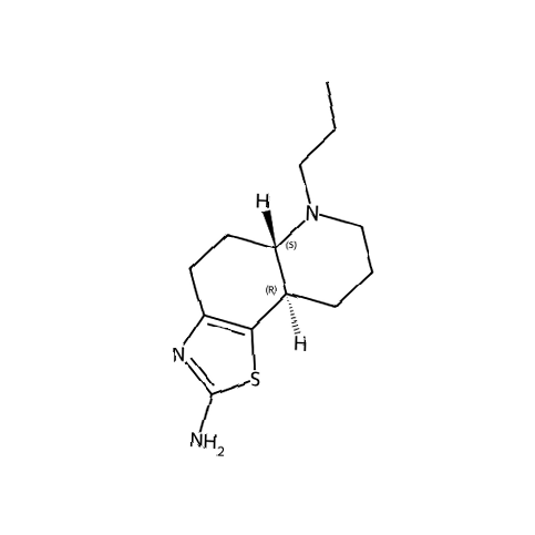 CCCN1CCC[C@H]2c3sc(N)nc3CC[C@@H]21